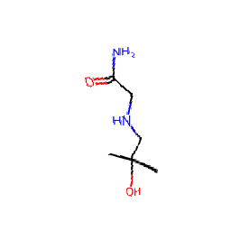 CC(C)(O)CNCC(N)=O